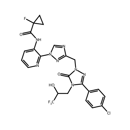 O=C(Nc1cccnc1-n1cnc(Cn2nc(-c3ccc(Cl)cc3)n(CC(O)C(F)(F)F)c2=O)n1)C1(F)CC1